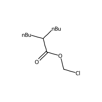 CCCCC(CCCC)C(=O)OCCl